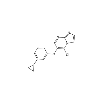 Clc1c(Oc2cccc(C3CC3)c2)cnc2nccn12